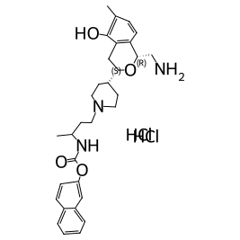 Cc1ccc2c(c1O)C[C@@H](C1CCN(CCC(C)NC(=O)Oc3ccc4ccccc4c3)CC1)O[C@H]2CN.Cl.Cl